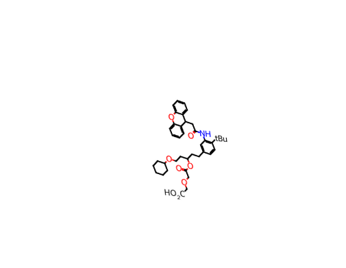 CC(C)(C)c1ccc(CCC(CCOC2CCCCC2)OC(=O)COCC(=O)O)cc1NC(=O)CC1c2ccccc2Oc2ccccc21